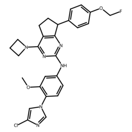 COc1cc(Nc2nc3c(c(N4CCC4)n2)CCC3c2ccc(OCF)cc2)ccc1-n1cnc(Cl)c1